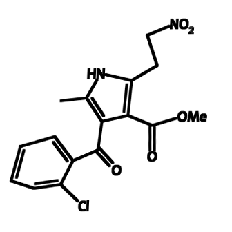 COC(=O)c1c(CC[N+](=O)[O-])[nH]c(C)c1C(=O)c1ccccc1Cl